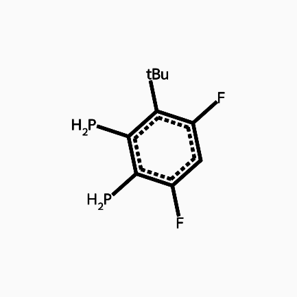 CC(C)(C)c1c(F)cc(F)c(P)c1P